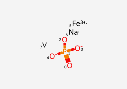 O=P([O-])([O-])[O-].[Fe+3].[Na].[V]